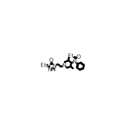 CCC(=O)N(c1ccccc1)C1C(C)CN(CCn2nnn(CC)c2=O)CC1C